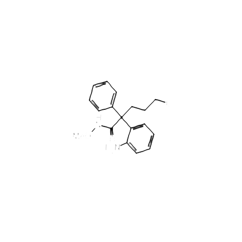 CONC(=O)C(CCCCl)(c1ccccc1)c1ccccc1N